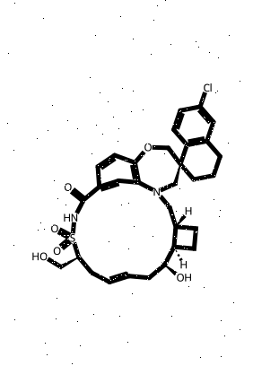 O=C1NS(=O)(=O)[C@H](CO)C/C=C/C[C@H](O)[C@@H]2CC[C@H]2CN2C[C@@]3(CCCc4cc(Cl)ccc43)COc3ccc1cc32